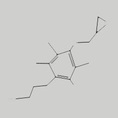 Cc1c(C)c(OCC2CO2)c(C)c(C)c1CCCO